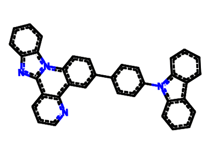 c1ccc2c(c1)nc1c3cccnc3c3cc(-c4ccc(-n5c6ccccc6c6ccccc65)cc4)ccc3n21